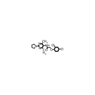 Cc1nc(N2CCCC2)nc(C)c1NC(=O)COc1ccc(Cl)cc1Cl